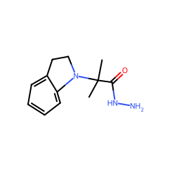 CC(C)(C(=O)NN)N1CCc2ccccc21